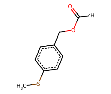 [2H]C(=O)OCc1ccc(SC)cc1